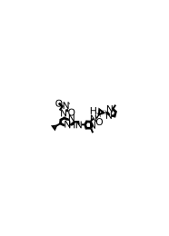 Cc1cc(NCc2cn3cc(C4CC4)cc(N4CC(=O)N(C)C4=O)c3n2)cc(NC(=O)[C@H]2C[C@@H]2c2nccc(C)n2)n1